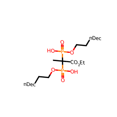 CCCCCCCCCCCCOP(=O)(O)C(C)(C(=O)OCC)P(=O)(O)OCCCCCCCCCCCC